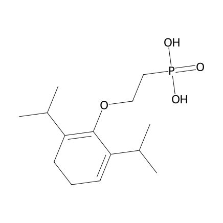 CC(C)C1=CCCC(C(C)C)=C1OCCP(=O)(O)O